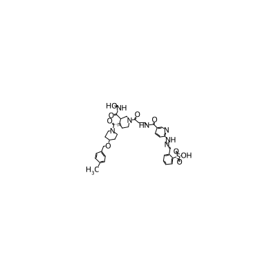 Cc1ccc(COC2CCN(C(=O)[C@H]3CCN(C(=O)CCNC(=O)c4ccc(NN=Cc5ccccc5S(=O)(=O)O)nc4)CC3C(=O)NO)CC2)cc1